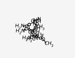 CCCCOc1ccc(-c2ncc(C(=O)N[C@@H](CCN)C(=O)N(C)[C@@H]3C(=O)N[C@@H](C)C(=O)N[C@H](C(=O)NCC#N)Cc4ccc(OCCN)c(c4)-c4cc3ccc4OCCN)c(C)n2)cc1F